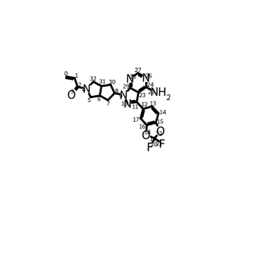 C=CC(=O)N1CC2CC(n3nc(-c4ccc5c(c4)OC(F)(F)O5)c4c(N)ncnc43)CC2C1